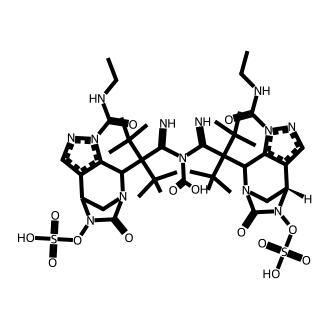 CCNC(=O)n1ncc2c1C(C(C(=N)N(C(=N)C(C1c3c(cnn3C(=O)NCC)[C@H]3CN1C(=O)N3OS(=O)(=O)O)(C(C)(C)C)C(C)(C)C)C(=O)O)(C(C)(C)C)C(C)(C)C)N1CC2N(OS(=O)(=O)O)C1=O